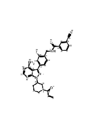 C=CC(=O)N1CCCC(n2nc(-c3ccc(CNC(=O)c4cccc(C#N)c4)c(F)c3)c3c(N)ncnc32)C1